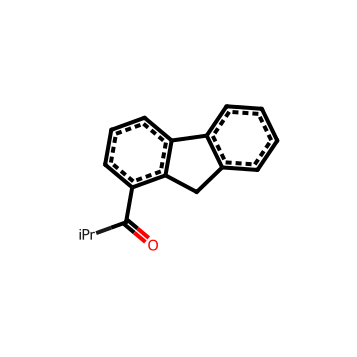 CC(C)C(=O)c1cccc2c1Cc1ccccc1-2